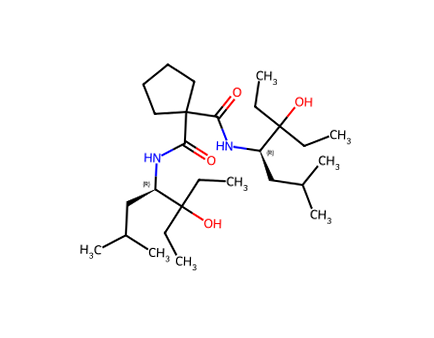 CCC(O)(CC)[C@@H](CC(C)C)NC(=O)C1(C(=O)N[C@H](CC(C)C)C(O)(CC)CC)CCCC1